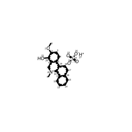 COc1ccc2c(c[n+](C)c3c4ccccc4ccc23)c1O.O=S(=O)([O-])[O-].[H+]